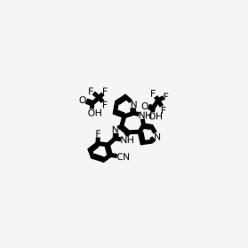 N#Cc1cccc(F)c1-c1nc2c([nH]1)-c1ccncc1Nc1ncccc1-2.O=C(O)C(F)(F)F.O=C(O)C(F)(F)F